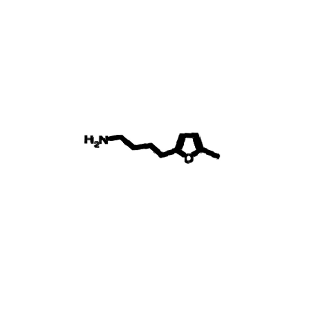 Cc1ccc(CCCCN)o1